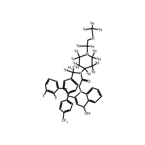 [2H]C([2H])([2H])OCC([2H])([2H])N1C([2H])([2H])C([2H])([2H])C([2H])(N(C(=O)CN2C(SCc3cccc(F)c3F)=CC(O)c3ccccc32)C([2H])(C)c2ccc(-c3ccc(C(F)(F)F)cc3)cc2)C([2H])([2H])C1([2H])[2H]